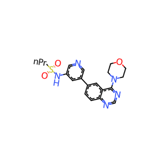 CCCS(=O)(=O)Nc1cncc(-c2ccc3ncnc(N4CCOCC4)c3c2)c1